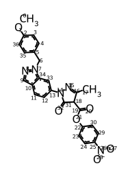 COc1ccc(Cn2ncc3ccc(N4N=C(C)C(C(=O)Oc5ccc([N+](=O)[O-])cc5)C4=O)cc32)cc1